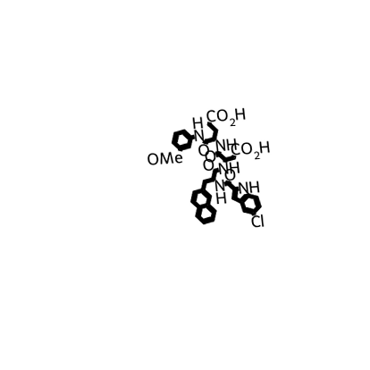 COc1cccc(NC(=O)C(CCC(=O)O)NC(=O)C(CC(=O)O)NC(=O)C(Cc2ccc3ccccc3c2)NC(=O)c2cc3cc(Cl)ccc3[nH]2)c1